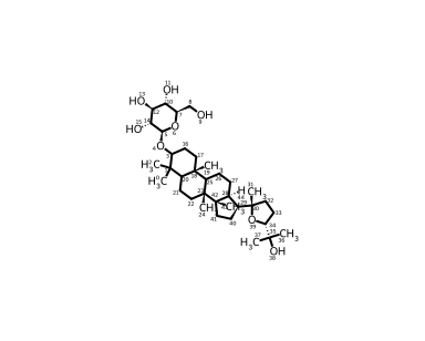 CC1(C)C(O[C@@H]2O[C@H](CO)[C@@H](O)[C@H](O)[C@H]2O)CC[C@@]2(C)C1CC[C@]1(C)C2CC[C@H]2[C@@H]([C@]3(C)CC[C@H](C(C)(C)O)O3)CC[C@@]21C